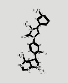 Cc1cccc(C2CN(c3ccc(-c4cn(C)c5ncnc(N)c45)c(F)c3)C(=O)N2C)c1